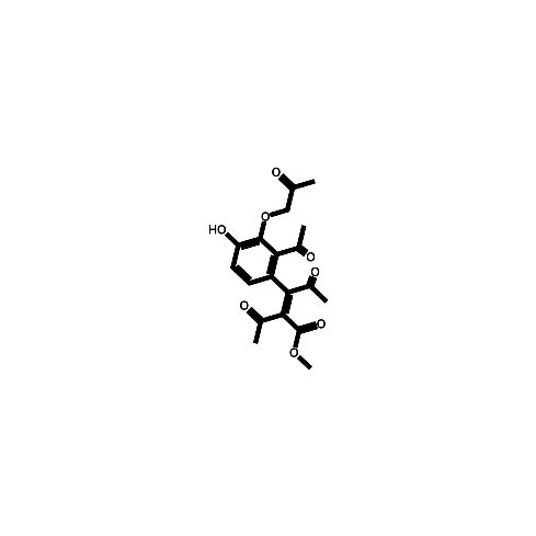 COC(=O)/C(C(C)=O)=C(\C(C)=O)c1ccc(O)c(OCC(C)=O)c1C(C)=O